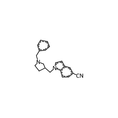 N#Cc1ccc2c(ccn2CC2CCN(Cc3ccccc3)C2)c1